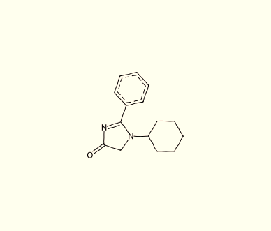 O=C1CN(C2CCCCC2)C(c2ccccc2)=N1